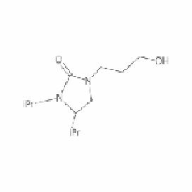 CC(C)C1CN(CCCO)C(=O)N1C(C)C